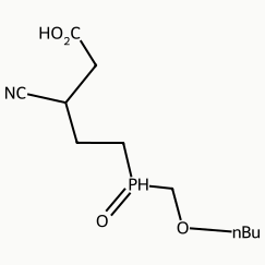 CCCCOC[PH](=O)CCC(C#N)CC(=O)O